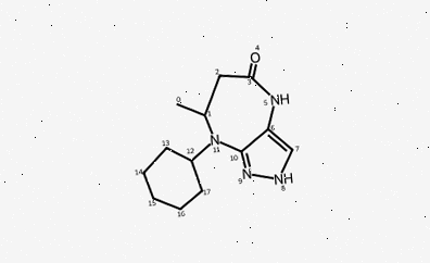 CC1CC(=O)Nc2c[nH]nc2N1C1CCCCC1